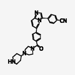 N#Cc1ccc(-c2cnc3ccc(-c4ccc(C(=O)N5CCN(C6CCNCC6)CC5)cc4)cn23)cc1